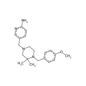 COc1ccc(CN2CCN(Cc3ccc(N)nc3)CC2(C)C)cc1